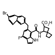 O=C(NC1C(C(=O)O)CC12CCC2)c1c(Cc2ccc3cc(Br)ccc3c2)cc(F)c2cc[nH]c12